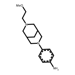 COCCN1CC2CC(C1)CN(c1ccc(N)cc1)C2